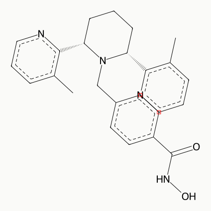 Cc1cccnc1[C@H]1CCC[C@@H](c2ncccc2C)N1Cc1ccc(C(=O)NO)cc1